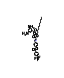 CCCCCCCCCCC(OC(=O)/C=C/c1ccc(OC(=O)c2ccc(C(F)(F)F)cc2)cc1)OC(=O)c1cc(N)cc(N)c1